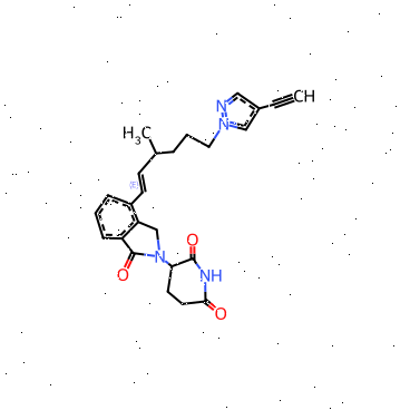 C#Cc1cnn(CCCC(C)/C=C/c2cccc3c2CN(C2CCC(=O)NC2=O)C3=O)c1